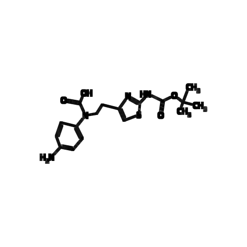 CC(C)(C)OC(=O)Nc1nc(CCN(C(=O)O)c2ccc(N)cc2)cs1